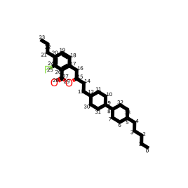 CCCCCC1CCC(C2CCC(CCC3Cc4ccc(CCC)c(F)c4C(=O)O3)CC2)CC1